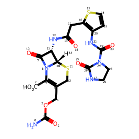 NC(=O)OCC1=C(C(=O)O)N2C(=O)[C@H](NC(=O)Cc3sccc3NC(=O)N3CCNC3=O)[C@@H]2SC1